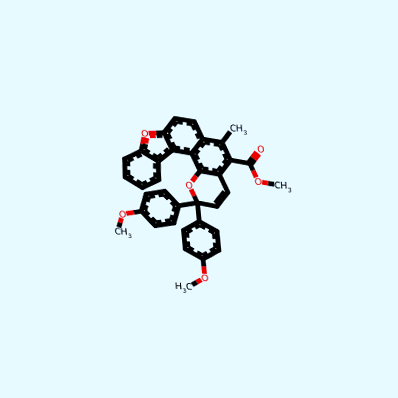 COC(=O)c1c2c(c3c(ccc4oc5ccccc5c43)c1C)OC(c1ccc(OC)cc1)(c1ccc(OC)cc1)C=C2